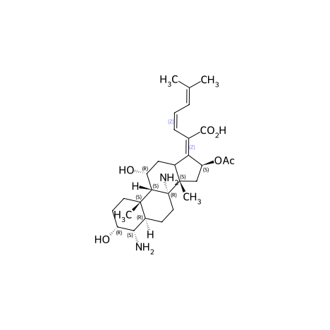 CC(=O)O[C@H]1C[C@@]2(C)C(C[C@@H](O)[C@H]3[C@@]4(C)CC[C@@H](O)[C@@H](N)[C@@H]4CC[C@@]32N)/C1=C(\C=C/C=C(C)C)C(=O)O